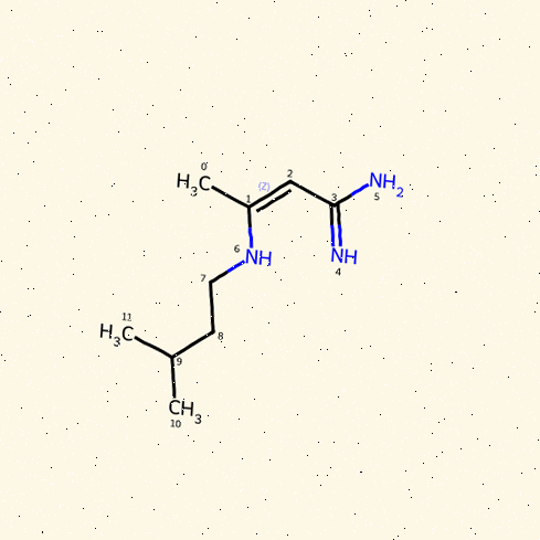 C/C(=C/C(=N)N)NCCC(C)C